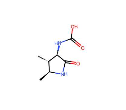 C[C@H]1[C@H](C)NC(=O)[C@@H]1NC(=O)O